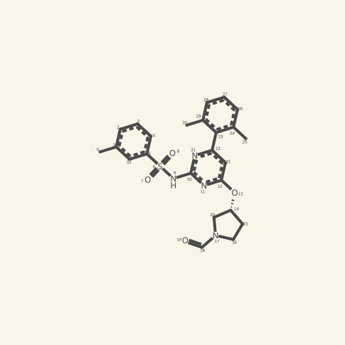 Cc1cccc(S(=O)(=O)Nc2nc(O[C@@H]3CCN(C=O)C3)cc(-c3c(C)cccc3C)n2)c1